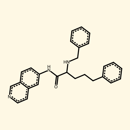 O=C(Nc1ccc2cnccc2c1)C(CCCc1ccccc1)NCc1ccccc1